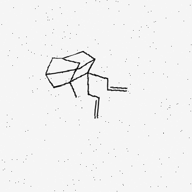 [CH2]C12CC3CC(CC(C3)C1(CC=C)CC=C)C2